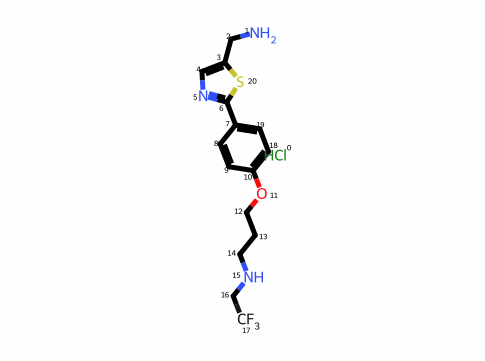 Cl.NCc1cnc(-c2ccc(OCCCNCC(F)(F)F)cc2)s1